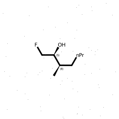 CCCC[C@@H](C)[C@H](O)CF